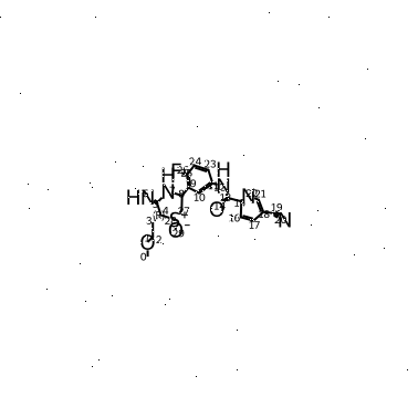 COCC[C@@H]1C(=N)NC(c2cc(NC(=O)c3ccc(C#N)cn3)ccc2F)C[S+]1[O-]